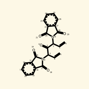 C=CC(C(=O)C(C=C)N1C(=O)c2ccccc2C1=O)N1C(=O)c2ccccc2C1=O